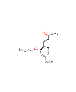 COC(=O)/C=C/c1ccc(OC)cc1OCCCBr